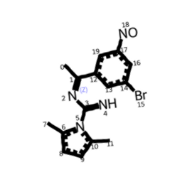 C/C(=N/C(=N)n1c(C)ccc1C)c1cc(Br)cc(N=O)c1